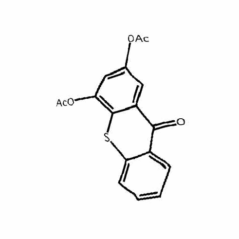 CC(=O)Oc1cc(OC(C)=O)c2sc3ccccc3c(=O)c2c1